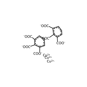 O=C([O-])c1cccc(C(=O)[O-])c1C(=O)[O-].O=C([O-])c1cccc(C(=O)[O-])c1C(=O)[O-].[Cu+2].[Cu+2].[Cu+2]